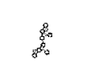 c1ccc(-n2c3ccc(-c4ccc5c6ccc7c8ccccc8oc7c6n(-c6ccccc6)c5c4)cc3c3cc4oc5ccccc5c4cc32)cc1